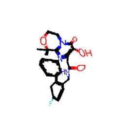 CC1(C)OCCn2c1nc(C(=O)NCC1=C(c3ccccc3)CC(F)C=C1)c(O)c2=O